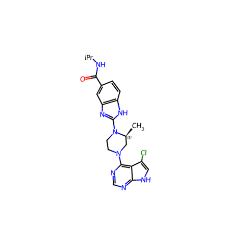 CC(C)NC(=O)c1ccc2[nH]c(N3CCN(c4ncnc5[nH]cc(Cl)c45)C[C@@H]3C)nc2c1